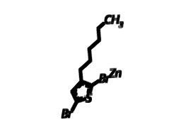 CCCCCCc1cc(Br)sc1Br.[Zn]